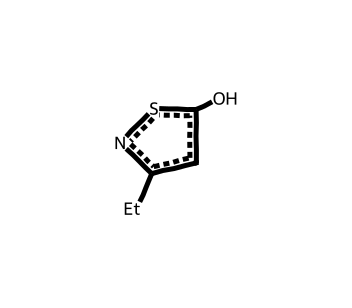 CCc1cc(O)sn1